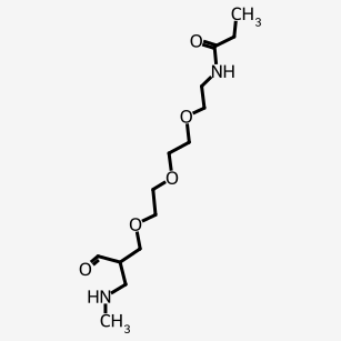 CCC(=O)NCCOCCOCCOCC(C=O)CNC